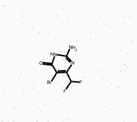 Nc1nc(C(F)F)c(Br)c(=O)[nH]1